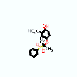 CC(C)(Oc1ccc(O)c(C(=O)O)c1)S(=O)(=O)c1ccccc1